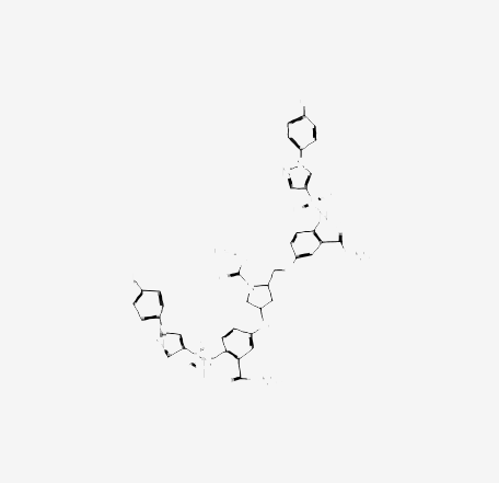 COC(=O)c1cc(OCC2CC(Oc3ccc(NS(=O)(=O)c4cnn(-c5ccc(Cl)cc5)c4)c(C(=O)OC)c3)CN2C(=O)OC(C)(C)C)ccc1NS(=O)(=O)c1cnn(-c2ccc(Cl)cc2)c1